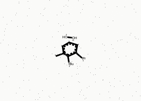 Cc1cccc(C(C)C)c1C(C)(C)C.OO